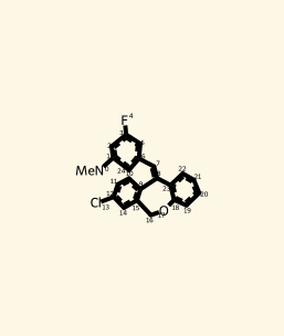 CNc1cc(F)cc(/C=C2\c3ccc(Cl)cc3COc3ccccc32)c1